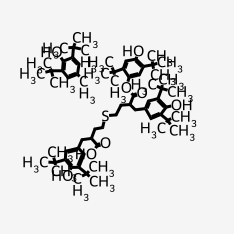 CC(C)(C)c1cc(OC(=O)C(CCSCCC(Cc2cc(C(C)(C)C)c(O)c(C(C)(C)C)c2)C(=O)O)Cc2cc(C(C)(C)C)c(O)c(C(C)(C)C)c2)c(C(C)(C)C)cc1O.Cc1cc(C(C)(C)C)c(O)c(C(C)(C)C)c1